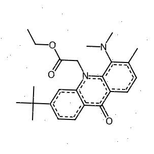 CCOC(=O)Cn1c2cc(C(C)(C)C)ccc2c(=O)c2ccc(C)c(N(C)C)c21